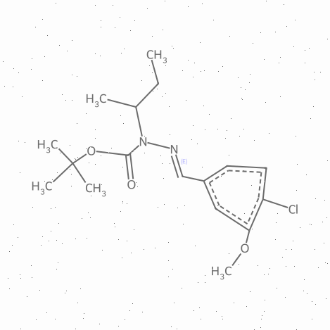 CCC(C)N(/N=C/c1ccc(Cl)c(OC)c1)C(=O)OC(C)(C)C